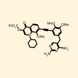 CCOC(=O)Oc1cn(C2CCCCC2)c2c(OC)c(C#Cc3cc(Cc4cnc(N)nc4N)cc(OC)c3OC)ccc2c1=O